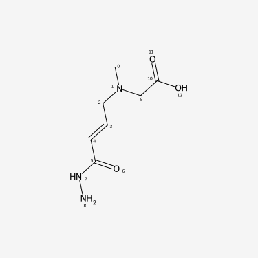 CN(C/C=C/C(=O)NN)CC(=O)O